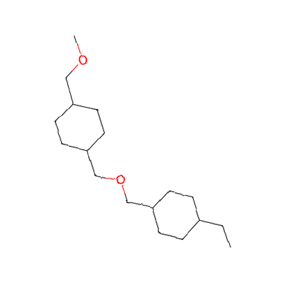 CCC1CCC(COCC2CCC(COC)CC2)CC1